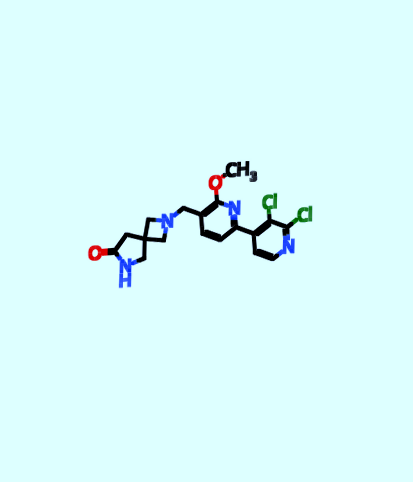 COc1nc(-c2ccnc(Cl)c2Cl)ccc1CN1CC2(CNC(=O)C2)C1